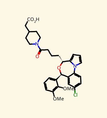 COc1cccc([C@H]2O[C@H](CCCC(=O)N3CCC(CC(=O)O)CC3)c3cccn3-c3ccc(Cl)cc32)c1OC